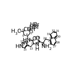 Br.Br.CC(C)C[C@@H](CO)NC(=O)[C@H](Cc1c[nH]cn1)NC(=O)[C@H](N)Cc1cccc2ccccc12